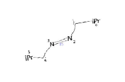 CC(C)[CH]/N=N/[CH]C(C)C